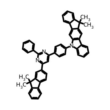 CC1(C)c2ccccc2-c2ccc(-c3cc(-c4ccc(-n5c6ccccc6c6cc7c(cc65)-c5ccccc5C7(C)C)cc4)nc(-c4ccccc4)n3)cc21